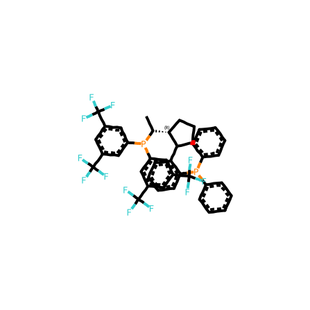 CC([C@@H]1CCCC1c1ccccc1P(c1ccccc1)c1ccccc1)P(c1cc(C(F)(F)F)cc(C(F)(F)F)c1)c1cc(C(F)(F)F)cc(C(F)(F)F)c1